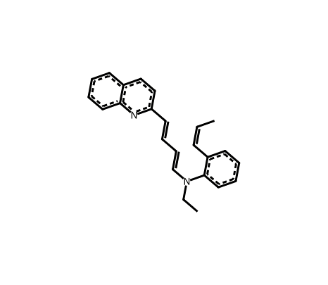 C/C=C\c1ccccc1N(C=CC=Cc1ccc2ccccc2n1)CC